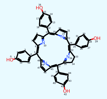 Oc1ccc(C2=C3C=CC(=N3)C(c3ccc(O)cc3)=C3C=CC(=N3)C(c3ccc(O)cc3)=C3CCC(=N3)C(c3ccc(O)cc3)=C3C=CC2=N3)cc1